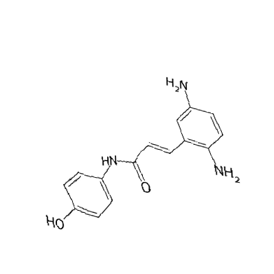 Nc1ccc(N)c(/C=C/C(=O)Nc2ccc(O)cc2)c1